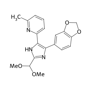 COC(OC)c1nc(-c2ccc3c(c2)OCO3)c(-c2cccc(C)n2)[nH]1